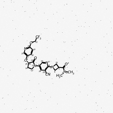 CN(C)C(=O)C1CN(c2ncc(N3CC[C@@H](Oc4ccc(OCC(F)(F)F)nc4)C3=O)cc2C#N)C1